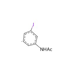 CC(=O)Nc1c[c]cc(I)c1